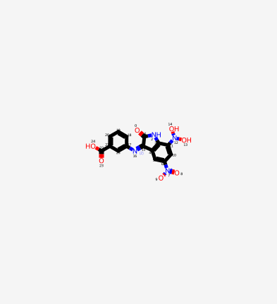 O=C1Nc2c(cc([N+](=O)[O-])cc2N(O)O)/C1=N/c1cccc(C(=O)O)c1